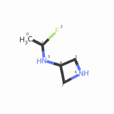 CC(F)NC1CNC1